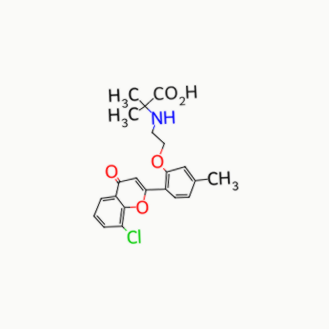 Cc1ccc(-c2cc(=O)c3cccc(Cl)c3o2)c(OCCNC(C)(C)C(=O)O)c1